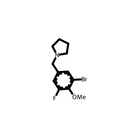 COc1c(F)cc(CN2CCCC2)cc1Br